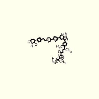 Cc1cc(-c2n[nH]c3ncc(-c4ccc(C5CCN(CCc6ccc([C@@H]7CCC(=O)NC7=O)cc6)CC5)nc4)cc23)ccc1[C@@H](C)CCC(=O)c1noc(C(C)(C)C)n1